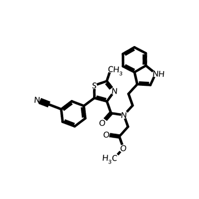 COC(=O)CN(CCc1c[nH]c2ccccc12)C(=O)c1nc(C)sc1-c1cccc(C#N)c1